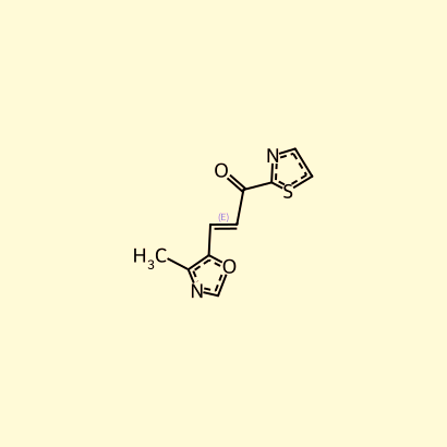 Cc1ncoc1/C=C/C(=O)c1nccs1